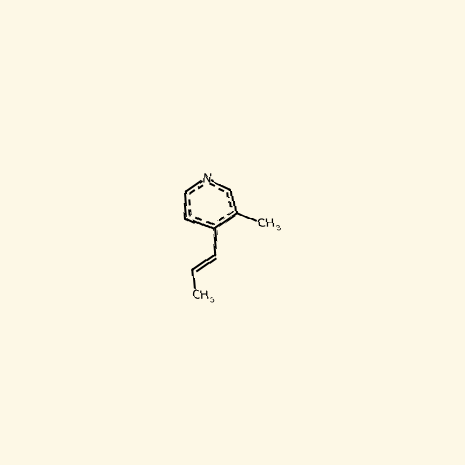 C/C=C/c1ccncc1C